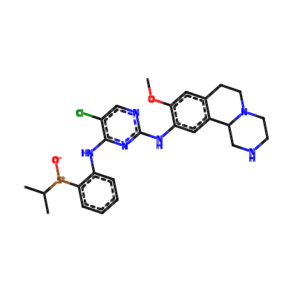 COc1cc2c(cc1Nc1ncc(Cl)c(Nc3ccccc3[S+]([O-])C(C)C)n1)C1CNCCN1CC2